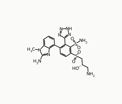 Cn1c(N)nc2c(-c3ccc(S(=O)(=O)C[C@@H](O)CN)c(S(N)(=O)=O)c3-c3nn[nH]n3)cccc21